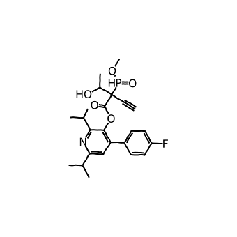 C#CC(C(=O)Oc1c(-c2ccc(F)cc2)cc(C(C)C)nc1C(C)C)(C(C)O)[PH](=O)OC